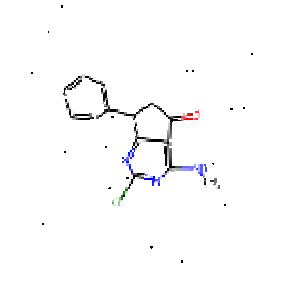 CNc1nc(Cl)nc2c1C(=O)CC2c1ccccc1